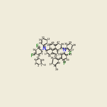 Cc1cccc(-c2cc(N(c3ccccc3)c3ccc4ccc5c(N(c6ccccc6)c6cc(-c7cccc(C)c7)c(F)cc6F)ccc6ccc3c4c65)c(F)cc2F)c1